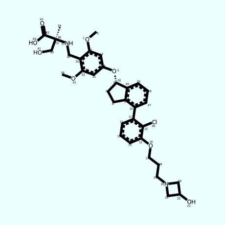 COc1cc(O[C@H]2CCc3c(-c4cccc(OCCCN5CC(O)C5)c4Cl)cccc32)cc(OC)c1CN[C@@](C)(CO)C(=O)O